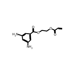 C=CC(=O)OCCOC(=O)c1cc(N)cc(N)c1